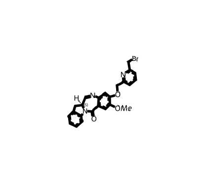 COc1cc2c(cc1OCc1cccc(CBr)n1)N=C[C@@H]1Cc3ccccc3N1C2=O